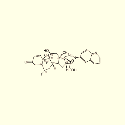 C[C@]12C=CC(=O)C=C1[C@@H](F)C[C@H]1C3C[C@H]4CN(c5ccc6ncccc6c5)O[C@@]4(C(=O)CO)[C@@]3(C)C[C@H](O)[C@@]12F